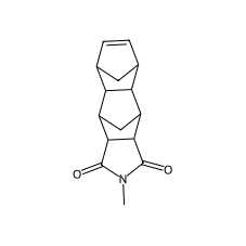 CN1C(=O)C2C3CC(C2C1=O)C1C2C=CC(C2)C31